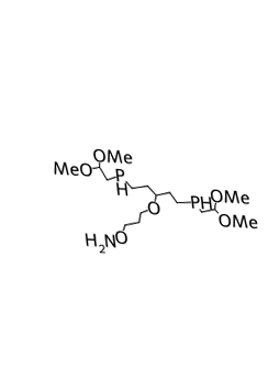 COC(CPCCC(CCPCC(OC)OC)OCCCON)OC